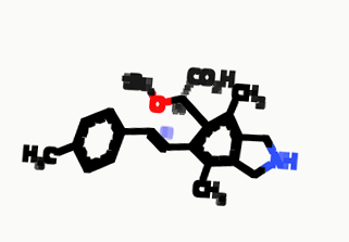 Cc1ccc(/C=C/c2c(C)c3c(c(C)c2[C@H](OC(C)(C)C)C(=O)O)CNC3)cc1